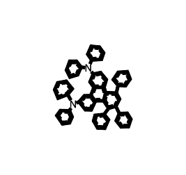 c1ccc(-c2cc(-c3ccccc3)c3c4ccc(N(c5ccccc5)c5ccccc5)cc4c4cc(N(c5ccccc5)c5ccccc5)ccc4c3c2-c2ccccc2)cc1